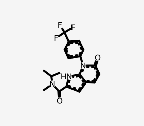 CC(C)N(C)C(=O)c1cc2ccc(=O)n(-c3ccc(C(F)(F)F)cc3)c2[nH]1